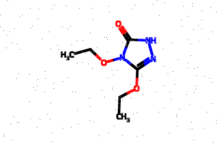 CCOc1n[nH]c(=O)n1OCC